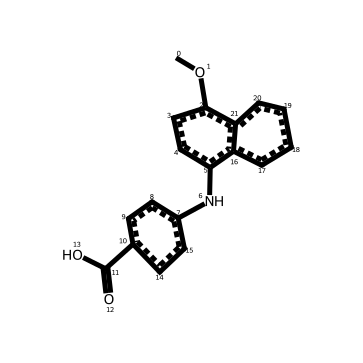 COc1ccc(Nc2ccc(C(=O)O)cc2)c2ccccc12